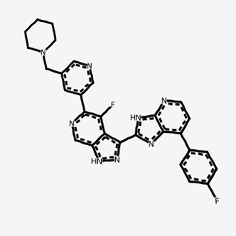 Fc1ccc(-c2ccnc3[nH]c(-c4n[nH]c5cnc(-c6cncc(CN7CCCCC7)c6)c(F)c45)nc23)cc1